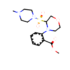 COC(=O)c1ccccc1N1CCOCC1S(=O)(=O)N1CCN(C)CC1